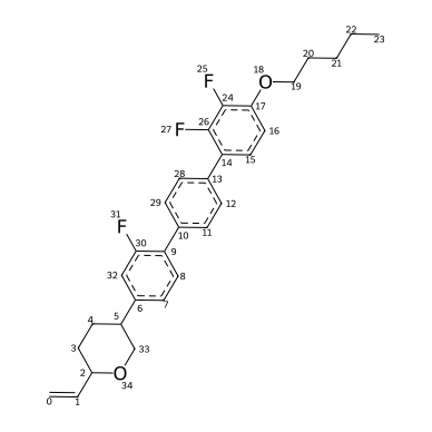 C=CC1CCC(c2ccc(-c3ccc(-c4ccc(OCCCCC)c(F)c4F)cc3)c(F)c2)CO1